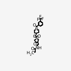 C=CC(=O)Nc1cc2c(o1)CN(S(=O)(=O)C1CCN(C(=O)c3cccc(C(F)(F)F)c3)CC1)C2